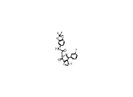 O=C(Cn1nc(-c2cccc(F)c2)c2[nH]cnc2c1=O)Nc1ccc2c(c1)OC(F)(F)O2